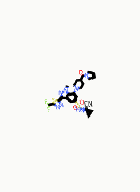 Cn1nc(-c2nnc(C(F)F)s2)c2cc(S(=O)(=O)NC3(C#N)CC3)cc(N3CCC(C(=O)N4CCCC4)CC3)c21